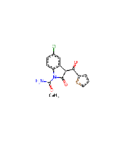 NC(=O)N1C(=O)C(C(=O)c2cccs2)c2cc(Cl)ccc21.[CaH2]